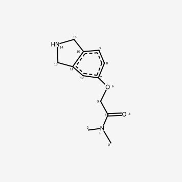 CN(C)C(=O)COc1ccc2c(c1)CNC2